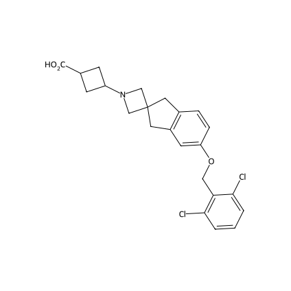 O=C(O)C1CC(N2CC3(Cc4ccc(OCc5c(Cl)cccc5Cl)cc4C3)C2)C1